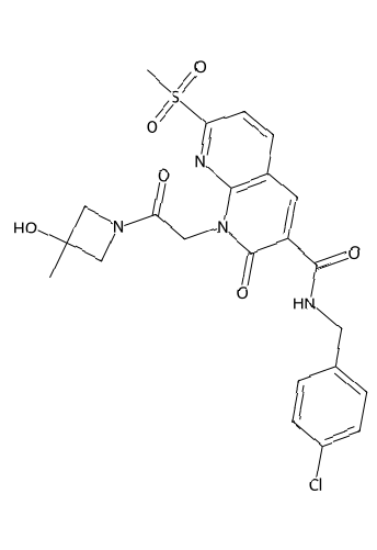 CC1(O)CN(C(=O)Cn2c(=O)c(C(=O)NCc3ccc(Cl)cc3)cc3ccc(S(C)(=O)=O)nc32)C1